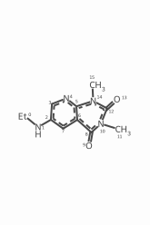 CCNc1cnc2c(c1)c(=O)n(C)c(=O)n2C